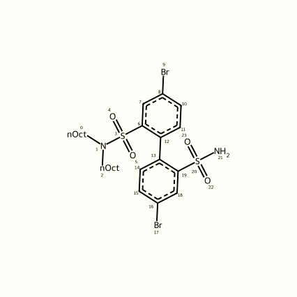 CCCCCCCCN(CCCCCCCC)S(=O)(=O)c1cc(Br)ccc1-c1ccc(Br)cc1S(N)(=O)=O